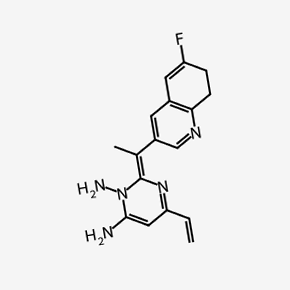 C=CC1=N/C(=C(/C)c2cnc3c(c2)C=C(F)CC3)N(N)C(N)=C1